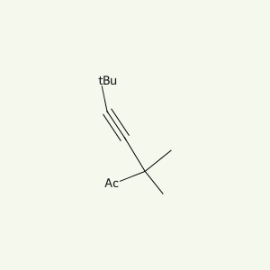 CC(=O)C(C)(C)C#CC(C)(C)C